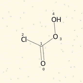 O=C(Cl)OO